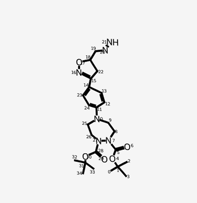 CC(C)(C)OC(=O)N1CCN(c2ccc(C3=NOC(CN=N)C3)cc2)CCN1C(=O)OC(C)(C)C